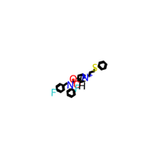 O=C(O[C@H]1C[N+]2(CCCSc3ccccc3)CCC1CC2)N(Cc1ccc(F)cc1)c1ccccc1F